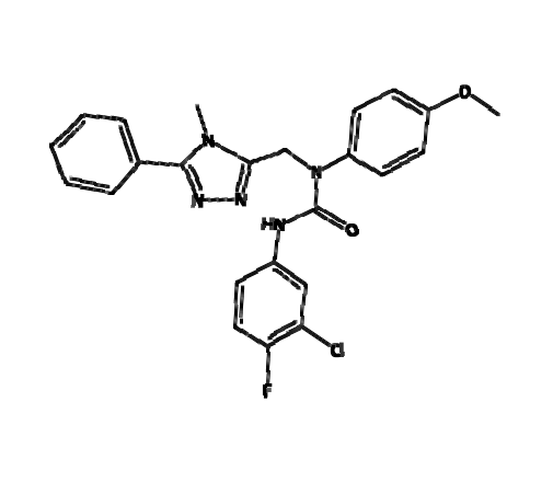 COc1ccc(N(Cc2nnc(-c3ccccc3)n2C)C(=O)Nc2ccc(F)c(Cl)c2)cc1